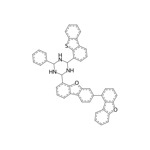 c1ccc(C2NC(c3cccc4c3oc3cc(-c5cccc6oc7ccccc7c56)ccc34)NC(c3cccc4c3sc3ccccc34)N2)cc1